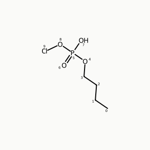 CCCCOP(=O)(O)OCl